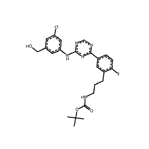 CC(C)(C)OC(=O)NCCCc1cc(-c2ncnc(Nc3cc(Cl)cc(CO)c3)n2)ccc1F